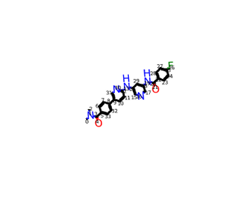 CN(C)C(=O)c1ccc(-c2ccc(Nc3cncc(NC(=O)c4ccc(F)cc4)c3)nc2)cc1